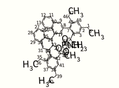 CCc1cc(CC)c(-c2cc3ccccc3c3c2OP(N)(=O)OC2C3=c3ccccc3=C[C@@H]2c2c(CC)cc(CC)cc2CC)c(CC)c1